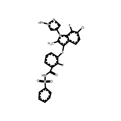 CCCn1cc(-n2c(C)c(Sc3cccc(C(=O)NS(=O)(=O)c4ccccc4)c3F)c3ccc(Cl)c(F)c32)cn1